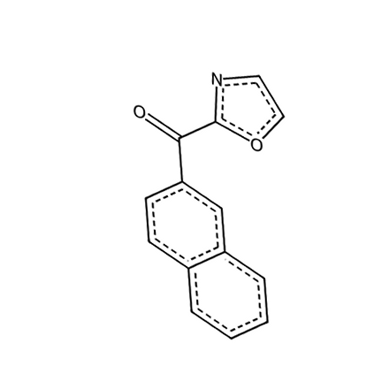 O=C(c1ccc2ccccc2c1)c1ncco1